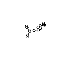 c1ccc(-c2ccc3ccc4c(-c5ccc(-c6cc(-c7ccncc7)cc(-c7ccncc7)c6)cc5)ccc5ccc2c3c54)nc1